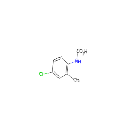 N#Cc1cc(Cl)ccc1NC(=O)O